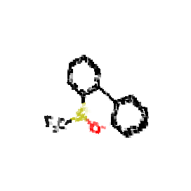 [O-][S+](c1ccccc1-c1ccccc1)C(F)(F)F